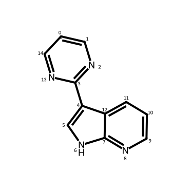 [c]1cnc(-c2c[nH]c3ncccc23)nc1